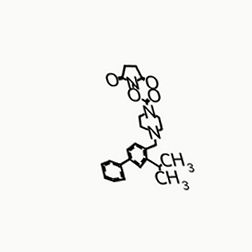 CC(C)c1cc(-c2ccccc2)ccc1CN1CCN(C(=O)ON2C(=O)CCC2=O)CC1